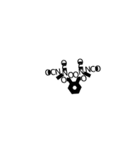 CC(N=C=O)(N=C=O)OC(=O)c1ccccc1C(=O)OC(C)(N=C=O)N=C=O